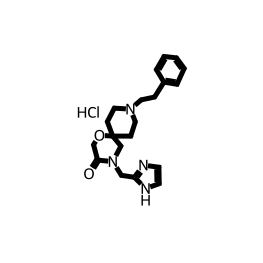 Cl.O=C1COC2(CCN(CCc3ccccc3)CC2)CN1Cc1ncc[nH]1